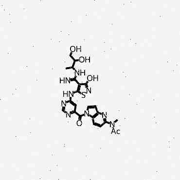 CC(=O)N(C)c1ccc2c(ccn2C(=O)c2cc(Nc3snc(O)c3C(=N)NC(C)C(O)CO)ncn2)n1